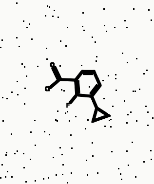 O=C(Cl)c1cccc(C2CC2)c1F